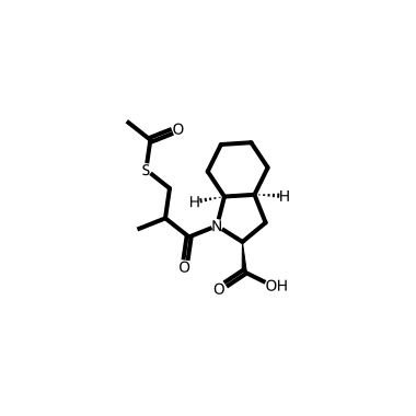 CC(=O)SCC(C)C(=O)N1[C@H](C(=O)O)C[C@@H]2CCCC[C@@H]21